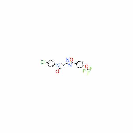 O=C1CC(c2noc(-c3ccc(OC(F)(F)F)cc3)n2)CN1c1ccc(Cl)cc1